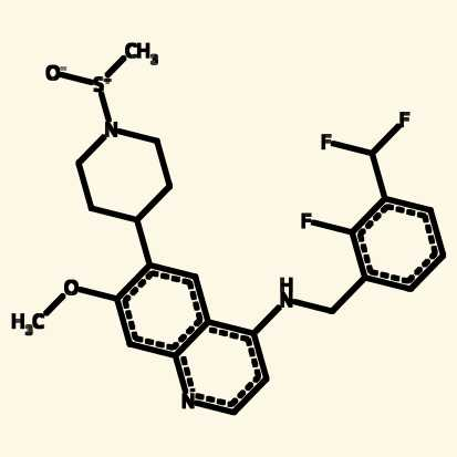 COc1cc2nccc(NCc3cccc(C(F)F)c3F)c2cc1C1CCN([S+](C)[O-])CC1